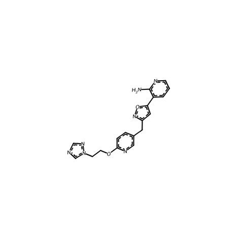 Nc1ncccc1-c1cc(Cc2ccc(OCCn3cncn3)nc2)no1